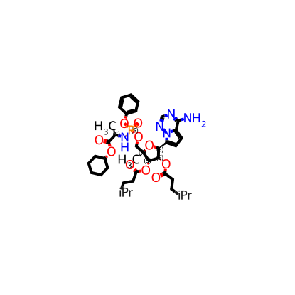 CC(C)CCC(=O)O[C@H]1[C@H](c2ccc3c(N)ncnn23)O[C@](C)(CO[P@@](=O)(N[C@@H](C)C(=O)OC2CCCCC2)Oc2ccccc2)[C@H]1OC(=O)CCC(C)C